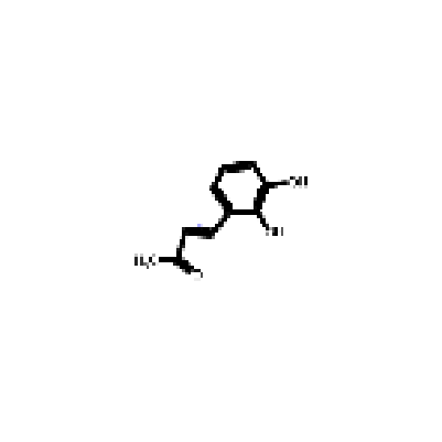 CC(=O)/C=C/c1cccc(O)c1O